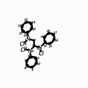 ClN(CC(N(Cl)c1ccccc1)N(Cl)c1ccccc1)c1ccccc1